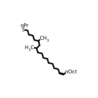 CCCCCCCC/C=C\CCCCCCCCC(C)CC(C)CCCCSCCC